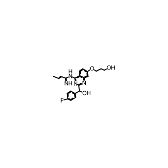 C/C=C/C(=N)Nc1nc(C(O)c2ccc(F)cc2)nc2cc(OCCCO)ccc12